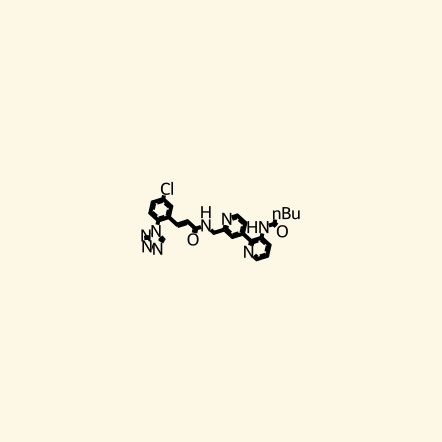 CCCCC(=O)Nc1cccnc1-c1ccnc(CNC(=O)/C=C/c2cc(Cl)ccc2-n2cnnn2)c1